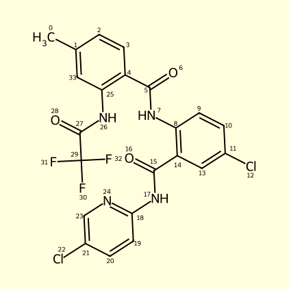 Cc1ccc(C(=O)Nc2ccc(Cl)cc2C(=O)Nc2ccc(Cl)cn2)c(NC(=O)C(F)(F)F)c1